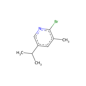 Cc1cc(C(C)C)cnc1Br